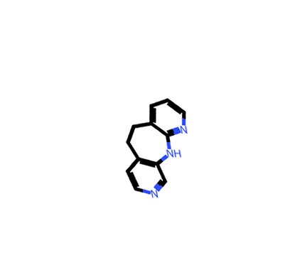 c1cnc2c(c1)CCc1ccncc1N2